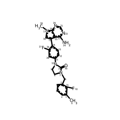 Cc1cccc(CN2CCN(c3ccc(-c4cn(C)c5ncnc(N)c45)c(F)c3)C2=O)c1F